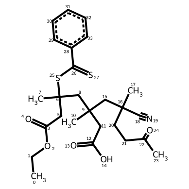 CCOC(=O)CC(C)(CC(C)(CC(=O)O)CC(C)(C#N)CCC(C)=O)SC(=S)c1ccccc1